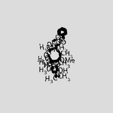 CO[C@]1(C)C[C@@H](C)CN(C)[C@@H](C(=O)N2CCN(S(=O)(=O)Cc3ccccc3)CC2)[C@H](C)OC(=O)C(C)(C)C(=O)[C@H](C)[C@H]1O[C@@H]1O[C@H](C)C[C@H](N(C)C)[C@H]1O